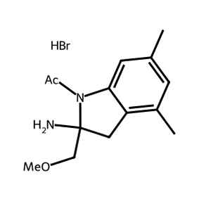 Br.COCC1(N)Cc2c(C)cc(C)cc2N1C(C)=O